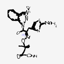 CC(C)(O/N=C(\C(=O)n1n[n+]([O-])c2ccccc21)c1csc(N)n1)C(=O)O